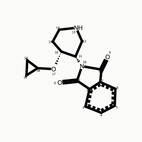 O=C1c2ccccc2C(=O)N1[C@H]1CNCC[C@H]1OC1CC1